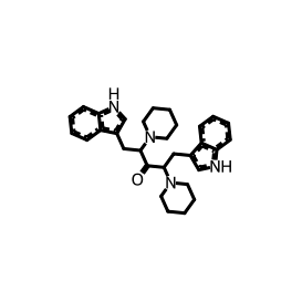 O=C(C(Cc1c[nH]c2ccccc12)N1CCCCC1)C(Cc1c[nH]c2ccccc12)N1CCCCC1